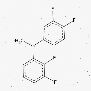 C[C](c1ccc(F)c(F)c1)c1cccc(F)c1F